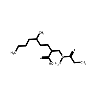 CCCCC(C)CCC(CN(N)C(=O)CC)C(=O)O